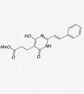 COC(=O)CCc1c(O)nc(C=Cc2ccccc2)[nH]c1=O